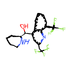 OC(c1cc(C(F)(F)F)nc2c(C(F)(F)F)cccc12)[C@@H]1CCCCN1